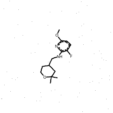 COc1ccc(F)c(NCC2CCOC(C)(C)C2)n1